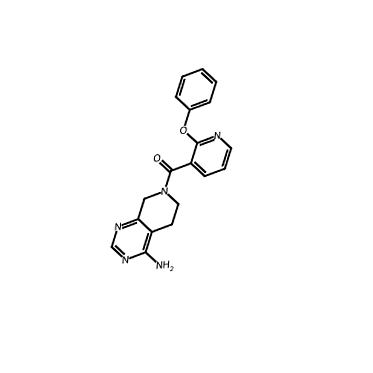 Nc1ncnc2c1CCN(C(=O)c1cccnc1Oc1ccccc1)C2